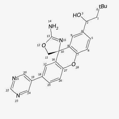 CC(C)(C)CC(O)c1ccc2c(c1)[C@]1(COC(N)=N1)c1cc(-c3cncnc3)ccc1O2